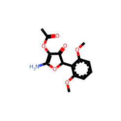 COc1cccc(OC)c1C1OC(N)=C(OC(C)=O)C1=O